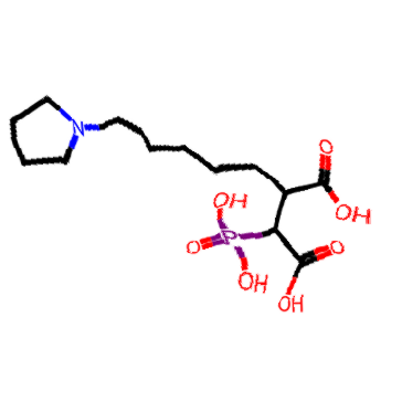 O=C(O)C(CCCCCN1CCCC1)C(C(=O)O)P(=O)(O)O